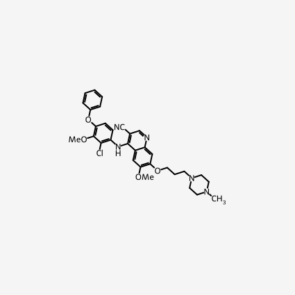 COc1cc2c(Nc3ccc(Oc4ccccc4)c(OC)c3Cl)c(C#N)cnc2cc1OCCCN1CCN(C)CC1